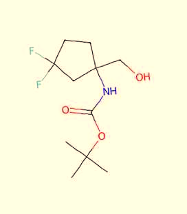 CC(C)(C)OC(=O)NC1(CO)CCC(F)(F)C1